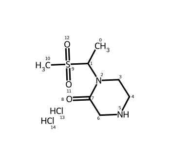 CC(N1CCNCC1=O)S(C)(=O)=O.Cl.Cl